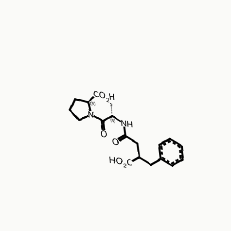 C[C@H](NC(=O)CC(Cc1ccccc1)C(=O)O)C(=O)N1CCC[C@H]1C(=O)O